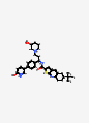 CC(C)(C)[C@H]1CCc2nc3sc(C(=O)N[C@H](CCN4CCCC(O)C4)c4ccc(-c5ccc(=O)[nH]c5)cc4)cc3cc2C1